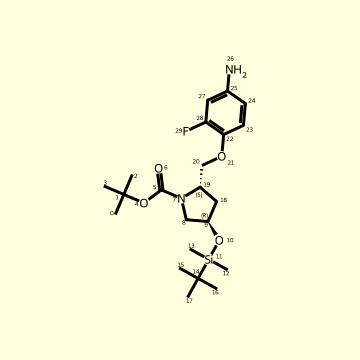 CC(C)(C)OC(=O)N1C[C@H](O[Si](C)(C)C(C)(C)C)C[C@H]1COc1ccc(N)cc1F